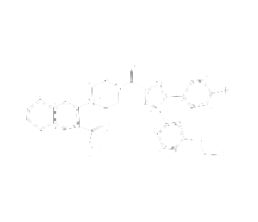 CCOc1cccc(-n2cc(C(=O)N3CCN(c4cc5ccccc5cc4C(=O)O)CC3)nc2-c2ccc(F)cc2)c1